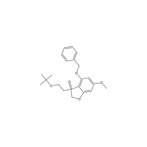 COc1cc(OCc2ccccc2)c2c(c1)OCP2(=O)CCSC(C)(C)C